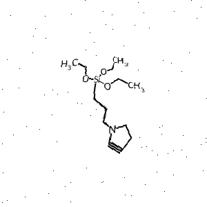 CCO[Si](CCCN1C#CCC1)(OCC)OCC